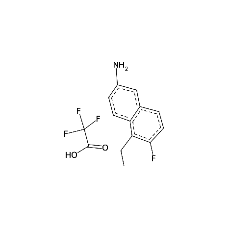 CCc1c(F)ccc2cc(N)ccc12.O=C(O)C(F)(F)F